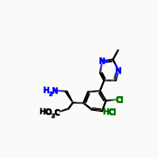 Cc1ncc(-c2cc([C@H](CN)CC(=O)O)ccc2Cl)cn1.Cl